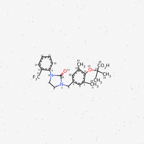 Cc1cc(CN2CCN(c3ccccc3C(F)(F)F)C2=O)cc(C)c1OC(C)(C)C(=O)O